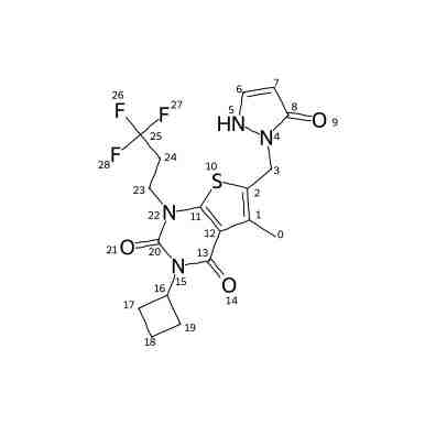 Cc1c(Cn2[nH]ccc2=O)sc2c1c(=O)n(C1CCC1)c(=O)n2CCC(F)(F)F